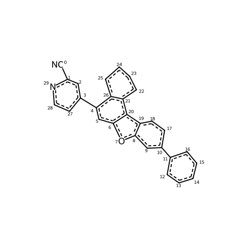 N#Cc1cc(-c2cc3oc4cc(-c5ccccc5)ccc4c3c3ccccc23)ccn1